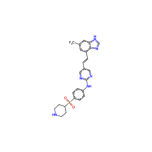 O=S(=O)(c1ccc(Nc2ncc(C=Cc3cc(C(F)(F)F)cc4[nH]cnc34)cn2)cc1)C1CCNCC1